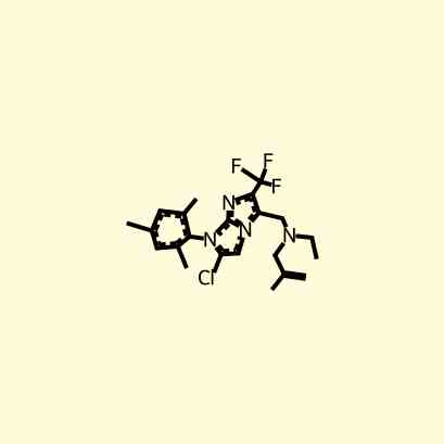 C=C(C)CN(CC)Cc1c(C(F)(F)F)nc2n(-c3c(C)cc(C)cc3C)c(Cl)cn12